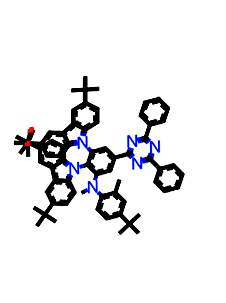 Cc1cc(C(C)(C)C)ccc1N(C)c1cc(-c2nc(-c3ccccc3)nc(-c3ccccc3)n2)cc(-n2c3ccc(C(C)(C)C)cc3c3cc(C(C)(C)C)ccc32)c1-n1c2ccc(C(C)(C)C)cc2c2cc(C(C)(C)C)ccc21